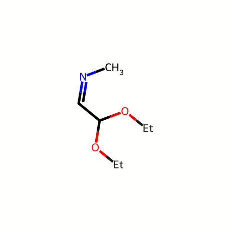 CCOC(/C=N\C)OCC